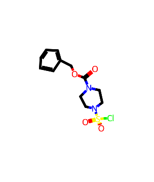 O=C(OCc1ccccc1)N1CCN(S(=O)(=O)Cl)CC1